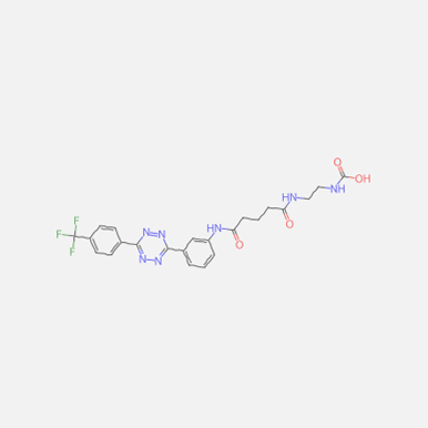 O=C(O)NCCNC(=O)CCCC(=O)Nc1cccc(-c2nnc(-c3ccc(C(F)(F)F)cc3)nn2)c1